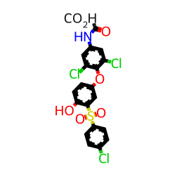 O=C(O)C(=O)Nc1cc(Cl)c(Oc2ccc(O)c(S(=O)(=O)c3ccc(Cl)cc3)c2)c(Cl)c1